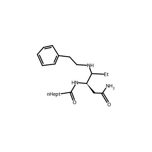 CCCCCCCC(=O)N[C@H](CC(N)=O)C(CC)NCCc1ccccc1